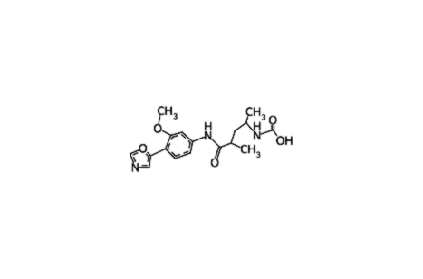 COc1cc(NC(=O)C(C)CC(C)NC(=O)O)ccc1-c1cnco1